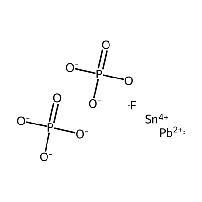 O=P([O-])([O-])[O-].O=P([O-])([O-])[O-].[F].[Pb+2].[Sn+4]